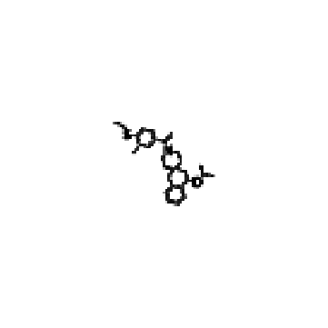 C=C(c1ccc(SCC)c(C)c1)N1CCC2(CC1)Cc1ccccc1C(OC(C)C)C2